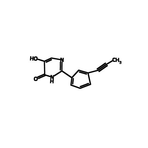 CC#Cc1cccc(-c2ncc(O)c(=O)[nH]2)c1